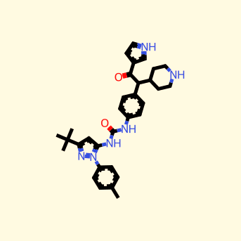 Cc1ccc(-n2nc(C(C)(C)C)cc2NC(=O)Nc2ccc(C(C(=O)c3cc[nH]c3)C3CCNCC3)cc2)cc1